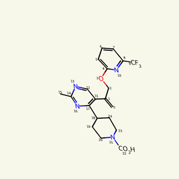 C=C(COc1cccc(C(F)(F)F)n1)c1cnc(C)nc1C1CCN(C(=O)O)CC1